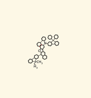 CC1(C)c2ccccc2-c2ccc(-c3c4ccccc4cc4c3oc3ccc(N(c5ccc6c(c5)C(c5ccccc5)(c5ccccc5)c5ccccc5-6)c5ccccc5-c5ccccc5)cc34)cc21